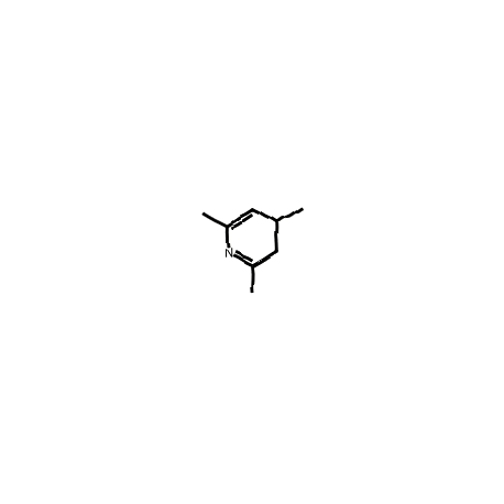 CC1=CC(C)CC(C)=N1